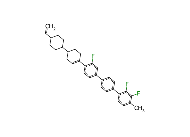 C=CC1CCC(C2CC=C(c3ccc(-c4ccc(-c5ccc(C)c(F)c5F)cc4)cc3F)CC2)CC1